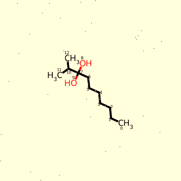 CCCCCCCC(O)(O)C(C)C